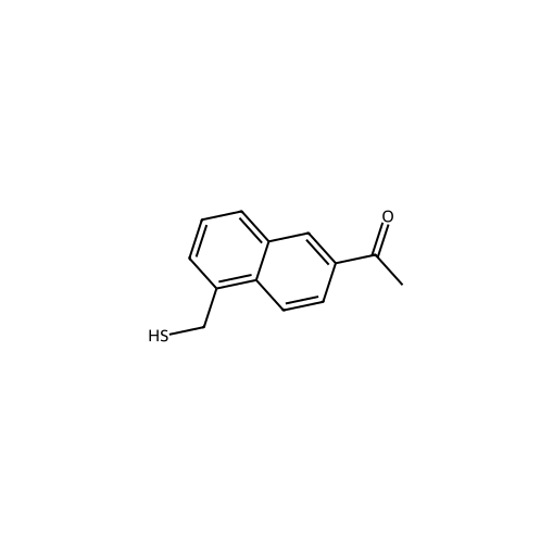 CC(=O)c1ccc2c(CS)cccc2c1